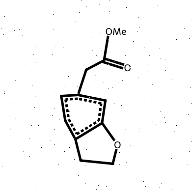 COC(=O)Cc1ccc2c(c1)OCC2